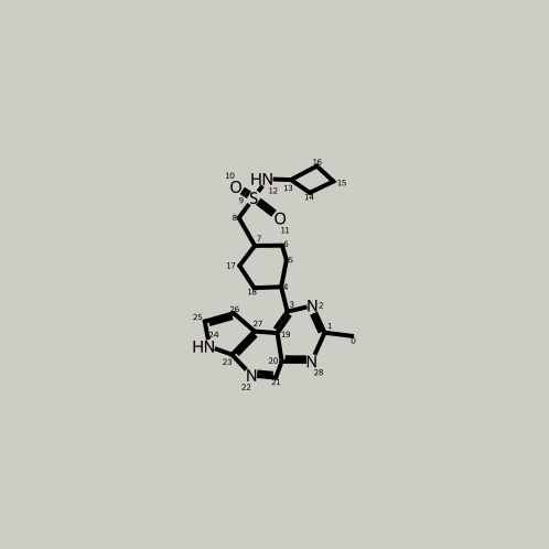 Cc1nc(C2CCC(CS(=O)(=O)NC3CCC3)CC2)c2c(cnc3[nH]ccc32)n1